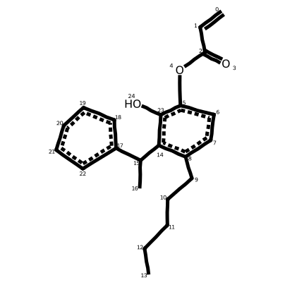 C=CC(=O)Oc1ccc(CCCCC)c(C(C)c2ccccc2)c1O